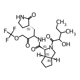 CCC(C)C(O)C(=O)N1C[C@@H]2CCC[C@@H]2[C@H]1C(=O)NC(C[C@@H]1CCNC1=O)C(=O)COC(F)(F)F